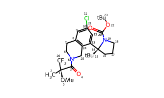 CO[C@](C)(C(=O)N1CCc2cc(Cl)cc([C@@]3(C(C)(C)C)CCCN3C(=O)OC(C)(C)C)c2C1)C(F)(F)F